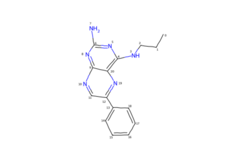 CCCNc1nc(N)nc2ncc(-c3ccccc3)nc12